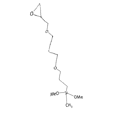 CO[Si](C)(CCCOCCCOCC1CO1)OC